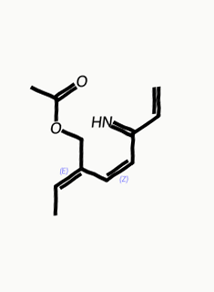 C=CC(=N)/C=C\C(=C/C)COC(C)=O